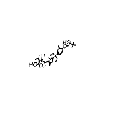 CCC(CC)(c1ccc(OCC(O)C(C)(C)C)c(C)c1)c1cc(C)c(C(=O)N[C@@H](C(=O)O)C(C)C)s1